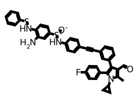 Cc1c(C=O)c(-c2cccc(C#Cc3ccc(N[S+]([O-])c4ccc(NSc5ccccc5)c(N)c4)cc3)c2)c(-c2ccc(F)cc2)n1C1CC1